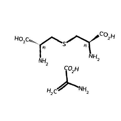 C=C(N)C(=O)O.N[C@@H](CSC[C@H](N)C(=O)O)C(=O)O